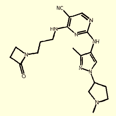 Cc1nn(C2CCN(C)C2)cc1Nc1ncc(C#N)c(NCCCN2CCC2=O)n1